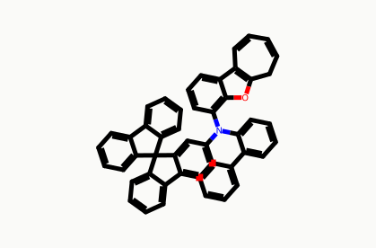 C1=CCc2oc3c(N(c4ccc5c(c4)C4(c6ccccc6-c6ccccc64)c4ccccc4-5)c4ccccc4-c4ccccc4)cccc3c2C=C1